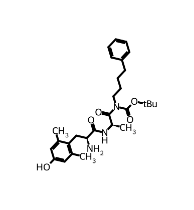 Cc1cc(O)cc(C)c1C[C@H](N)C(=O)N[C@H](C)C(=O)N(CCCCc1ccccc1)C(=O)OC(C)(C)C